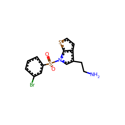 NCCc1cn(S(=O)(=O)c2cccc(Br)c2)c2sccc12